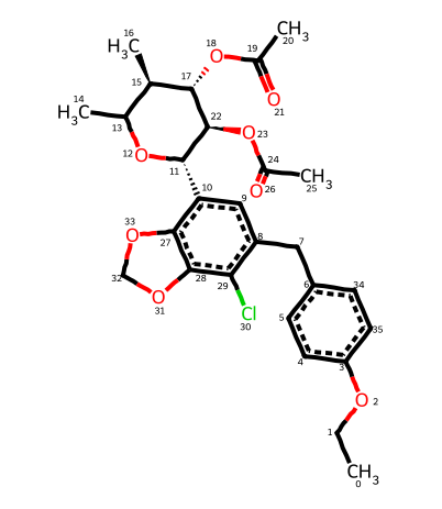 CCOc1ccc(Cc2cc([C@@H]3OC(C)[C@@H](C)[C@H](OC(C)=O)[C@H]3OC(C)=O)c3c(c2Cl)OCO3)cc1